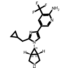 Nc1ncc(-c2cn([C@@H]3[C@@H]4CNC[C@@H]43)c(CC3CC3)n2)cc1C(F)(F)F